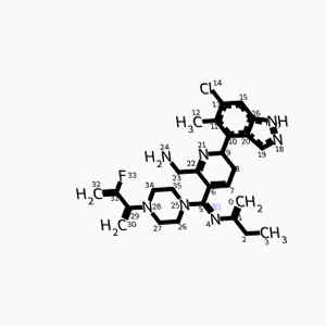 C=C(CC)/N=C(\C1=CCC(c2c(C)c(Cl)cc3[nH]ncc23)N=C1CN)N1CCN(C(=C)C(=C)F)CC1